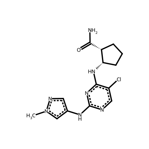 Cn1cc(Nc2ncc(Cl)c(N[C@H]3CCC[C@H]3C(N)=O)n2)cn1